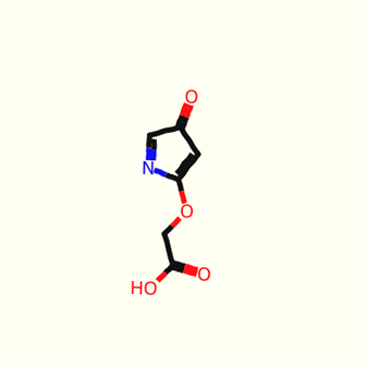 O=C1C=NC(OCC(=O)O)=C1